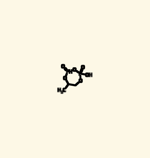 CC1COP(=O)(O)O[PH](=O)O1